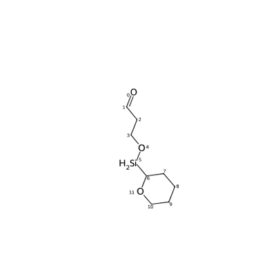 O=CCCO[SiH2]C1CCCCO1